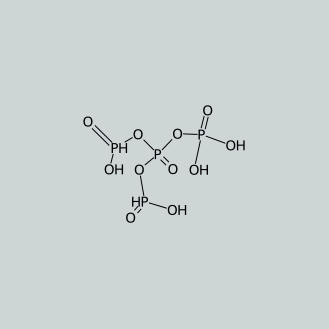 O=[PH](O)OP(=O)(O[PH](=O)O)OP(=O)(O)O